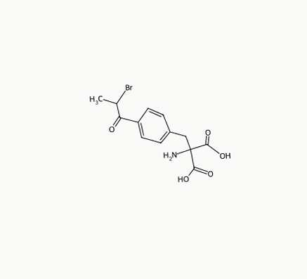 CC(Br)C(=O)c1ccc(CC(N)(C(=O)O)C(=O)O)cc1